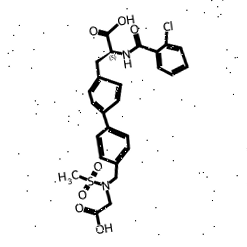 CS(=O)(=O)N(CC(=O)O)Cc1ccc(-c2ccc(C[C@H](NC(=O)c3ccccc3Cl)C(=O)O)cc2)cc1